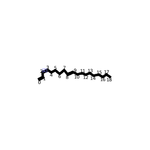 C=C/C=C\CCCCC=CCCCCCCCCC